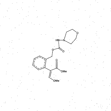 COC=C(C(=O)OC)c1ccccc1COC(=O)NN1CCOCC1